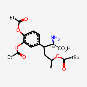 CCC(=O)Oc1ccc(C(CC(C)OC(=O)C(C)(C)C)[C@H](N)C(=O)O)cc1OC(=O)CC